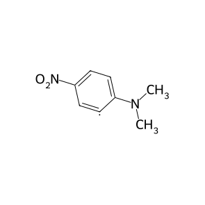 CN(C)c1[c]cc([N+](=O)[O-])cc1